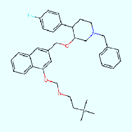 C[Si](C)(C)CCOCOc1cc(COC2CN(Cc3ccccc3)CCC2c2ccc(F)cc2)cc2ccccc12